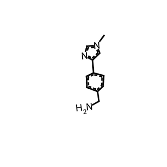 Cn1cnc(-c2ccc(CN)cc2)c1